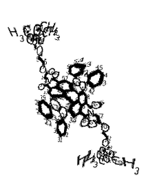 CO[Si](COCCOC(=O)CN1C(=O)c2cc(Oc3ccccc3)c3c4c(Oc5ccccc5)cc5c6c(cc(Oc7ccccc7)c(c7c(Oc8ccccc8)cc(c2c37)C1=O)c64)C(=O)N(CC(=O)OCCOC[Si](OC)(OC)OC)C5=O)(OC)OC